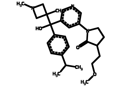 COCCC1CCN(c2cncc(C(O)(c3ccc(C(C)C)cc3)C3(C)CN(C)C3)c2)C1=O